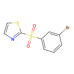 O=S(=O)(c1cccc(Br)c1)c1nccs1